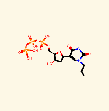 CCCn1cc([C@H]2C[C@@H](O)[C@@H](COP(=O)(O)OP(=O)(O)OP(=O)(O)O)O2)c(=O)[nH]c1=O